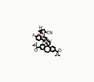 C[C@H](CC1(c2nnc(-c3ccc(F)cc3)o2)c2ccc(C(=O)N(C)C)cc2CCc2cc(C(=O)N(C)C)ccc21)NCC(=O)N1C(C#N)C[C@@H]2C[C@@H]21